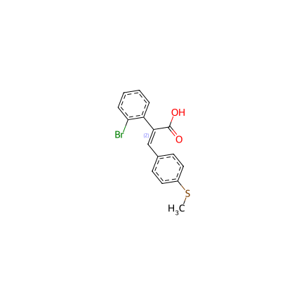 CSc1ccc(/C=C(\C(=O)O)c2ccccc2Br)cc1